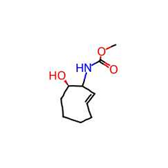 COC(=O)NC1/C=C/CCCC[C@H]1O